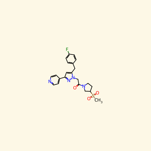 CS(=O)(=O)C1CCN(C(=O)Cn2nc(-c3ccncc3)cc2Cc2ccc(F)cc2)C1